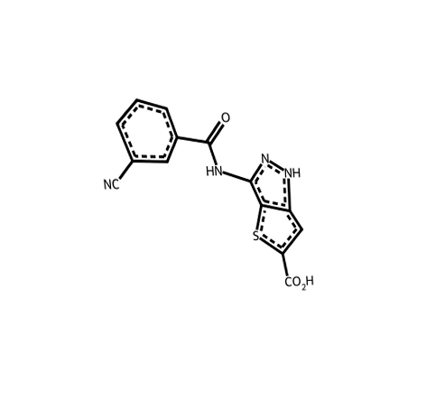 N#Cc1cccc(C(=O)Nc2n[nH]c3cc(C(=O)O)sc23)c1